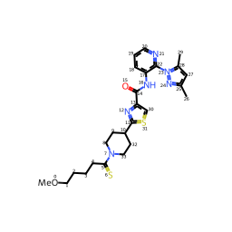 COCCCCC(=S)N1CCC(c2nc(C(=O)Nc3cccnc3-n3nc(C)cc3C)cs2)CC1